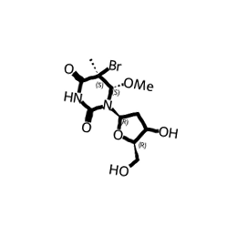 CO[C@@H]1N([C@H]2CC(O)[C@@H](CO)O2)C(=O)NC(=O)[C@@]1(C)Br